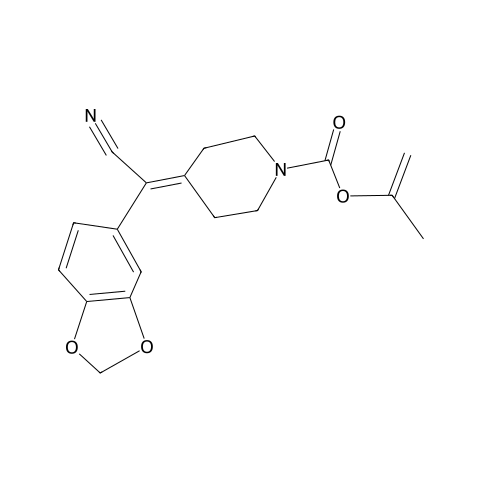 C=C(C)OC(=O)N1CCC(=C(C#N)c2ccc3c(c2)OCO3)CC1